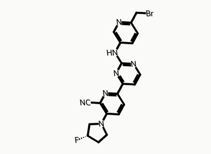 N#Cc1nc(-c2ccnc(Nc3ccc(CBr)nc3)n2)ccc1N1CC[C@H](F)C1